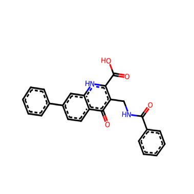 O=C(NCc1c(C(=O)O)[nH]c2cc(-c3ccccc3)ccc2c1=O)c1ccccc1